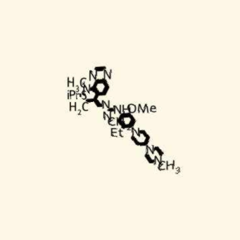 C=C/C(=C/N=C(\N=C)Nc1cc(CC)c(N2CCC(N3CCN(C)CC3)CC2)cc1OC)c1ccc2nccnc2c1N(C)SC(C)C